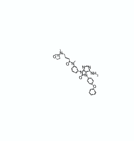 CN(C(=O)C=CCN(C)[C@H]1CCOC1)c1cccc(-n2c(=O)n(-c3ccc(Oc4ccccc4)cc3)c3c(N)ncnc32)c1